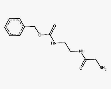 BCC(=O)NCCNC(=O)OCc1ccccc1